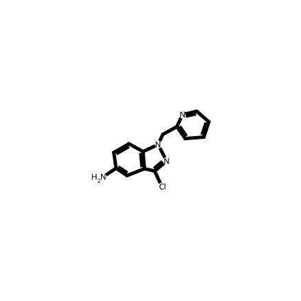 Nc1ccc2c(c1)c(Cl)nn2Cc1ccccn1